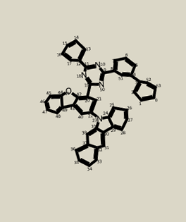 c1ccc(-c2cccc(-c3nc(-c4ccccc4)nc(-c4cc(-n5c6ccccc6c6cc7ccccc7cc65)cc5c4oc4ccccc45)n3)c2)cc1